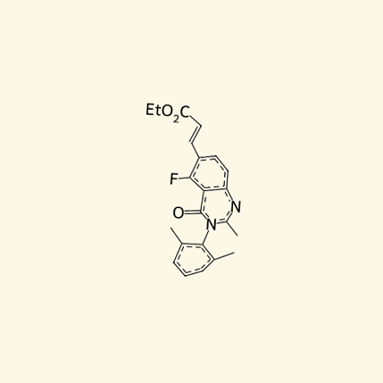 CCOC(=O)/C=C/c1ccc2nc(C)n(-c3c(C)cccc3C)c(=O)c2c1F